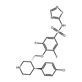 O=S(=O)(Nc1ncns1)c1cc(F)c(OC[C@H]2CNCC[C@@H]2c2ccc(Cl)cc2)c(F)c1